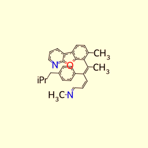 C/N=C/C=C\C(=C(/C)c1c(C)ccc2c1oc1ncccc12)c1ccc(CC(C)C)cc1